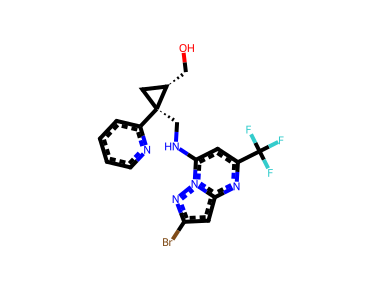 OC[C@H]1C[C@]1(CNc1cc(C(F)(F)F)nc2cc(Br)nn12)c1ccccn1